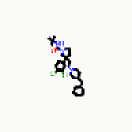 CC(C)(C)NC(=O)N1CCCC(CCN2CCC(Cc3ccccc3)CC2)(c2ccc(Cl)c(Cl)c2)C1